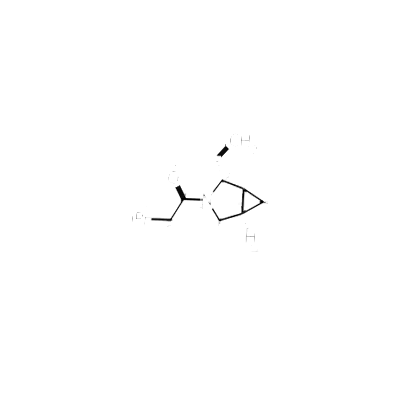 C=C[C@@H]1C2C[C@H]2CN1C(=O)CC(C)C